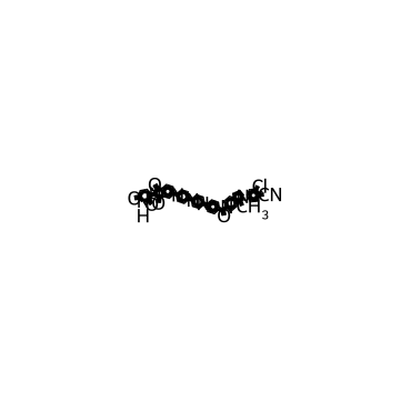 CC1N(c2ccc(C#N)c(Cl)c2)CCC12CCN(C(=O)c1ccc(N3CCN(C4CCN(c5ccc6c(c5)C(=O)N(C5CCC(=O)NC5=O)C6=O)CC4)CC3)cc1)CC2